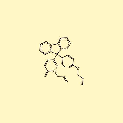 C=CCOC(=C)/C=C\C(=C/C)C1(C(/C=C\C(=C)OCC=C)=C/C)c2ccccc2-c2ccccc21